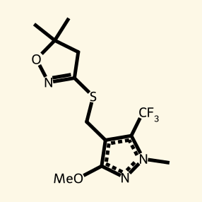 COc1nn(C)c(C(F)(F)F)c1CSC1=NOC(C)(C)C1